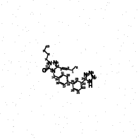 CCC#Cc1nn(CCCC)c(=O)n1Cc1ccc(-c2cccc(-c3nnn[nH]3)c2)cc1